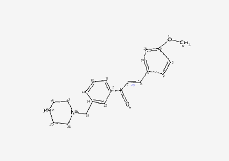 COc1ccc(/C=C/C(=O)c2cccc(CN3CCNCC3)c2)cc1